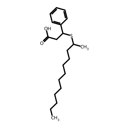 CCCCCCCCCCC(C)SC(CC(=O)O)c1ccccc1